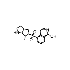 CC1C2NCCC2CN1S(=O)(=O)c1cccc2c(O)nccc12